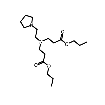 CCCOC(=O)CCN(CCC(=O)OCCC)CCN1CCCC1